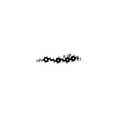 CCCC1CCC(/C=C/CCc2ccc(CCc3ccc(-c4ccc(OCC)cc4F)c(F)c3F)cc2)CC1